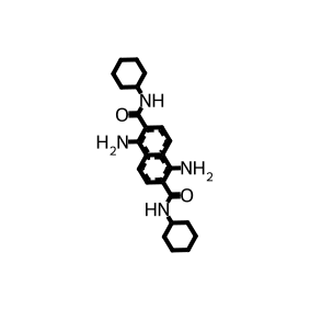 Nc1c(C(=O)NC2CCCCC2)ccc2c(N)c(C(=O)NC3CCCCC3)ccc12